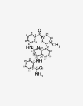 CN1CCN(C(=O)c2cccc(Nc3nc(Nc4ccccc4C(N)=O)c4ccccc4n3)c2)CC1